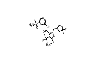 COc1nn(CC2CCC(F)(F)C2)c(C(=O)Nc2cccc(S(N)(=O)=O)c2)c1C(F)(F)F